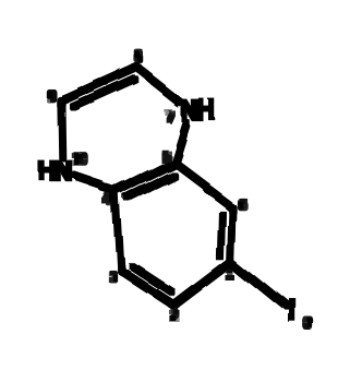 Ic1ccc2c(c1)NC=CN2